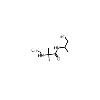 CC(C)CC(C)NC(=O)C(C)(C)NC=O